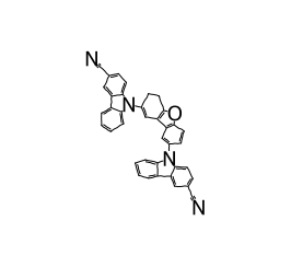 N#Cc1ccc2c(c1)c1ccccc1n2C1=Cc2c(oc3ccc(-n4c5ccccc5c5cc(C#N)ccc54)cc23)CC1